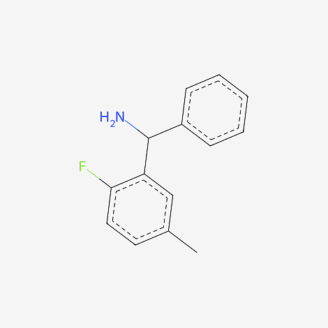 Cc1ccc(F)c(C(N)c2ccccc2)c1